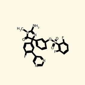 CN1C(=O)C(c2cccc(OS(=O)(=O)c3c(F)cccc3F)c2)(c2ccc(F)c(-c3cncnc3)c2)N=C1N